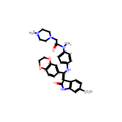 CCOC(=O)c1ccc2c(c1)NC(=O)C2=C(Nc1ccc(N(C)C(=O)CN2CCN(C)CC2)cc1)c1ccc2c(c1)OCCO2